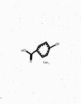 O=C(O)c1ccc(O)cc1.[CaH2]